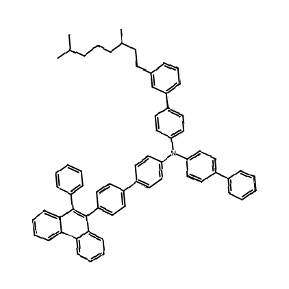 CC(C)CCCC(C)CCc1cccc(-c2ccc(N(c3ccc(-c4ccccc4)cc3)c3ccc(-c4ccc(-c5c(-c6ccccc6)c6ccccc6c6ccccc56)cc4)cc3)cc2)c1